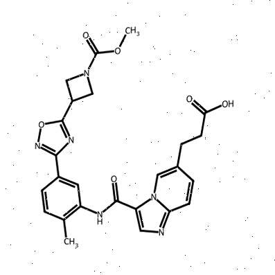 COC(=O)N1CC(c2nc(-c3ccc(C)c(NC(=O)c4cnc5ccc(CCC(=O)O)cn45)c3)no2)C1